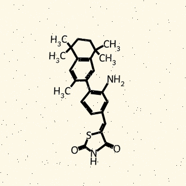 Cc1cc2c(cc1-c1ccc(/C=C3\SC(=O)NC3=O)cc1N)C(C)(C)CCC2(C)C